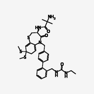 CCNC(=O)NCc1ccccc1-c1ccc(CN2C(=O)[C@H](NC(=O)C(C)(C)N)CSC3=CC(SC)(SC)CC=C32)cc1